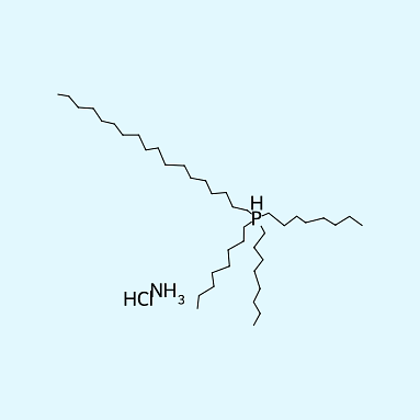 CCCCCCCCCCCCCCCCCC[PH](CCCCCCCC)(CCCCCCCC)CCCCCCCC.Cl.N